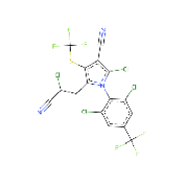 N#Cc1c(SC(F)(F)F)c(CC(Cl)C#N)n(-c2c(Cl)cc(C(F)(F)F)cc2Cl)c1Cl